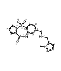 Cn1nccc1CNCc1ccc2c(c1)NC(=O)c1cccn1S2(=O)=O